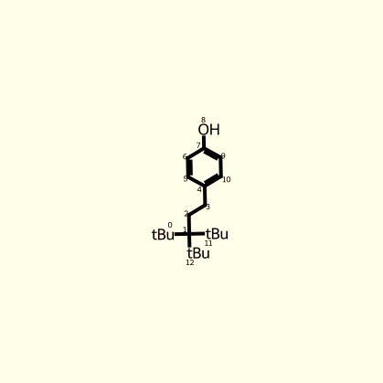 CC(C)(C)C(CCc1ccc(O)cc1)(C(C)(C)C)C(C)(C)C